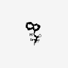 O=C(Nc1cccc2ccccc12)C(F)(F)Br